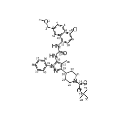 COCc1ccc2c(Cl)ccc(NC(=O)Nc3c(C)c(C4CCN(C(=O)OC(C)(C)C)CC4)nn3-c3ccccc3)c2c1